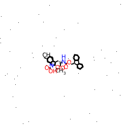 CCc1ccc2c(C[C@H](NC(=O)OCC3c4ccccc4-c4ccccc43)C(=O)OC)cn(C(=O)O)c2c1